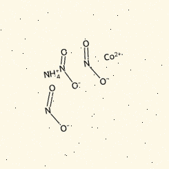 O=N[O-].O=N[O-].O=N[O-].[Co+2].[NH4+]